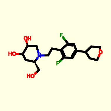 OC[C@H]1CC(O)[C@@H](O)CN1CCc1c(F)cc(C2CCOCC2)cc1F